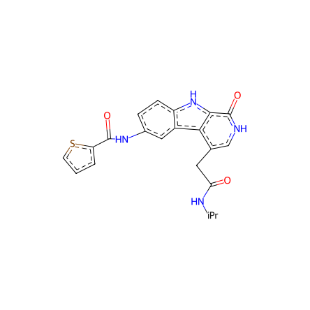 CC(C)NC(=O)Cc1c[nH]c(=O)c2[nH]c3ccc(NC(=O)c4cccs4)cc3c12